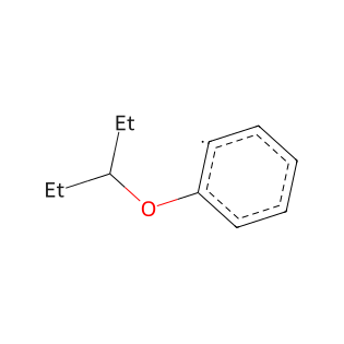 CCC(CC)Oc1[c]cccc1